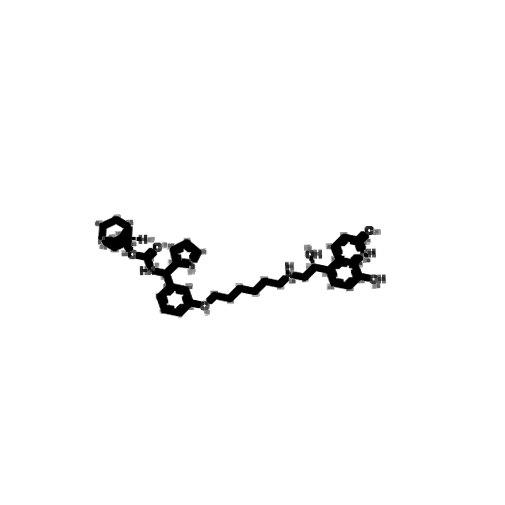 O=C(NC(c1cccc(OCCCCCCNC[C@H](O)c2ccc(O)c3[nH]c(=O)ccc23)c1)c1cccs1)O[C@H]1CN2CCC1CC2